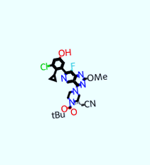 COc1nc(N2CCN(C(=O)OC(C)(C)C)[C@@H](CC#N)C2)c2cnc(-c3cc(O)cc(Cl)c3C3CC3)c(F)c2n1